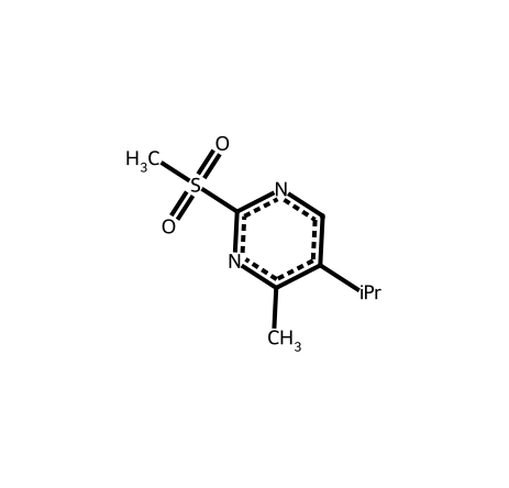 Cc1nc(S(C)(=O)=O)ncc1C(C)C